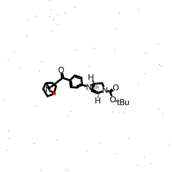 CC(C)(C)OC(=O)N1C[C@@H]2C[C@@H]1CN2c1ccc(C(=O)N2CC3CCC(CC3)C2)cc1